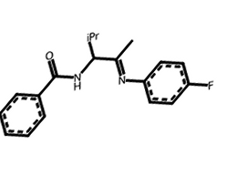 C/C(=N\c1ccc(F)cc1)C(NC(=O)c1ccccc1)C(C)C